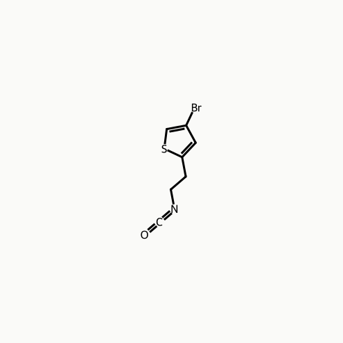 O=C=NCCc1cc(Br)cs1